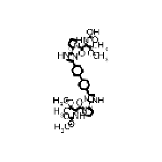 COC(=O)N[C@H](C(=O)N1CCC[C@H]1c1nc(C2CCC(C3CCC(c4c[nH]c([C@@H]5CCCN5C(=O)[C@@H](NC(=O)O)[C@@H](C)OC)n4)CC3)CC2)c[nH]1)C(C)OC